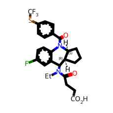 CCN(C(=O)CCC(=O)O)C1c2cc(F)ccc2N(C(=O)c2ccc(SC(F)(F)F)cc2)[C@H]2CCC[C@@H]12